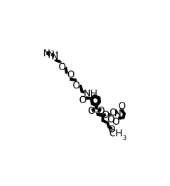 COCCCC(CS(=O)(=O)c1cccc(C(=O)NCCOCCOCCOCCN=[N+]=[N-])c1)OC(=O)ON1C(=O)CCC1=O